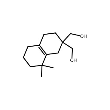 CC1(C)CCCC2=C1CC(CO)(CO)CC2